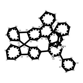 c1ccc(-c2cc(-c3ccc4c(c3)C3(c5ccccc5-4)c4ccccc4-c4cc5c6ccccc6c6ccccc6c5cc43)nc(-c3ccccc3)n2)cc1